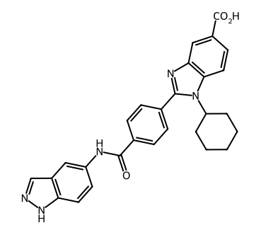 O=C(O)c1ccc2c(c1)nc(-c1ccc(C(=O)Nc3ccc4[nH]ncc4c3)cc1)n2C1CCCCC1